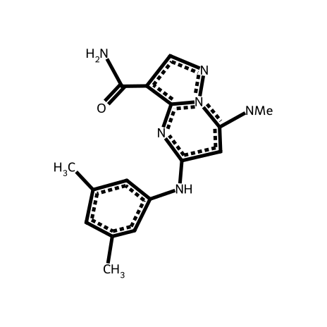 CNc1cc(Nc2cc(C)cc(C)c2)nc2c(C(N)=O)cnn12